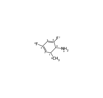 CC1C=C(F)C=C(F)C1N